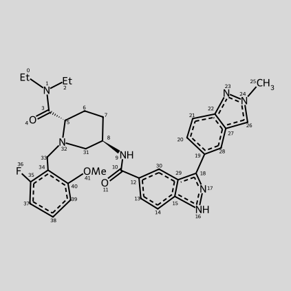 CCN(CC)C(=O)[C@@H]1CC[C@@H](NC(=O)c2ccc3[nH]nc(-c4ccc5nn(C)cc5c4)c3c2)CN1Cc1c(F)cccc1OC